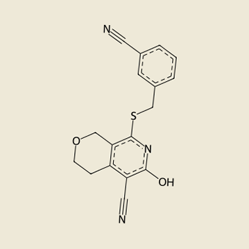 N#Cc1cccc(CSc2nc(O)c(C#N)c3c2COCC3)c1